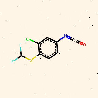 O=C=Nc1ccc(SC(F)F)c(Cl)c1